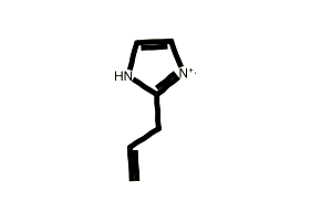 C=CCC1=[N+]C=CN1